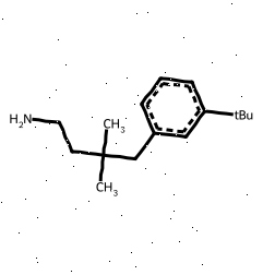 CC(C)(CCN)Cc1cccc(C(C)(C)C)c1